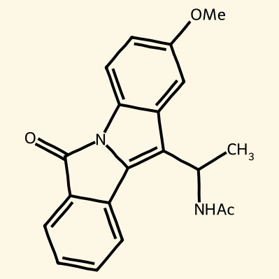 COc1ccc2c(c1)c(C(C)NC(C)=O)c1n2C(=O)c2ccccc2-1